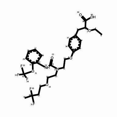 CCOC(Cc1ccc(OCCN(CCOCCC(C)(F)F)C(=O)Nc2ccccc2OC(F)(F)F)cc1)C(=O)O